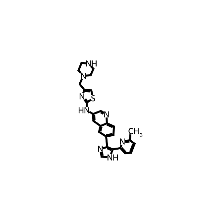 Cc1cccc(-c2[nH]cnc2-c2ccc3ncc(Nc4nc(CN5CCNCC5)cs4)cc3c2)n1